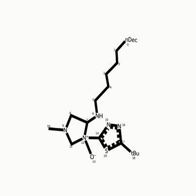 CCCCCCCCCCCCCCCNC1CN(C)C[N+]1([O-])c1nnc(C(C)(C)C)s1